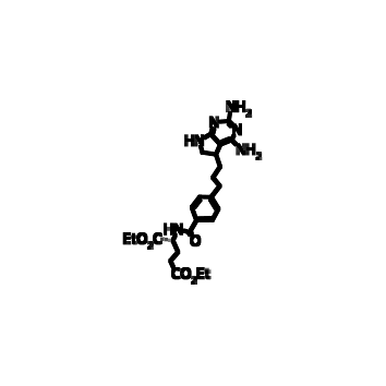 CCOC(=O)CC[C@@H](NC(=O)c1ccc(CCCC2CNc3nc(N)nc(N)c32)cc1)C(=O)OCC